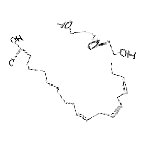 CC/C=C\C/C=C\C/C=C\CCCCCCCC(=O)O.OCCOCCO